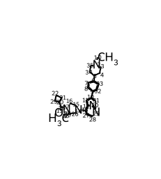 CCN1CCC(c2ccc(-c3cc4c(N5CCN(C(=O)C6CCC6)[C@H](C)C5)ccnn4c3)cc2)CC1